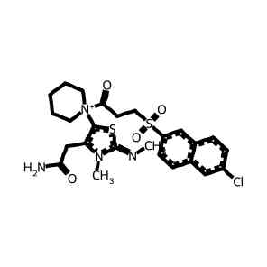 C/N=c1\sc([N+]2(C(=O)CCS(=O)(=O)c3ccc4cc(Cl)ccc4c3)CCCCC2)c(CC(N)=O)n1C